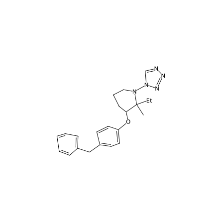 CCC1(C)C(Oc2ccc(Cc3ccccc3)cc2)CCCN1n1cnnn1